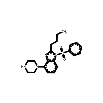 CCCCc1nc2c(N3CCNCC3)cccc2n1S(=O)(=O)c1ccccc1